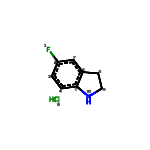 Cl.Fc1ccc2c(c1)CCN2